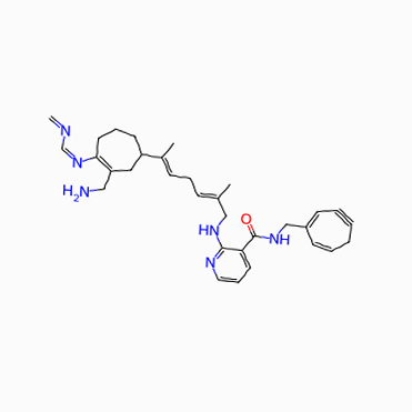 C=N/C=N\C1=C(CN)CC(/C(C)=C/C/C=C(\C)CNc2ncccc2C(=O)NCC2=CC#CCC=C2)CCC1